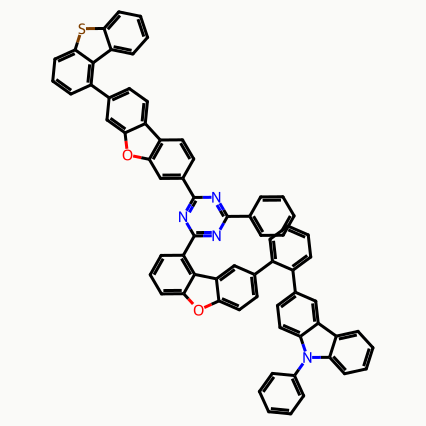 c1ccc(-c2nc(-c3ccc4c(c3)oc3cc(-c5cccc6sc7ccccc7c56)ccc34)nc(-c3cccc4oc5ccc(-c6ccccc6-c6ccc7c(c6)c6ccccc6n7-c6ccccc6)cc5c34)n2)cc1